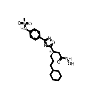 CS(=O)(=O)Nc1ccc(-c2noc([C@H](CCCC3CCCCC3)CC(=O)NO)n2)cc1